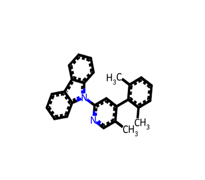 Cc1cnc(-n2c3ccccc3c3ccccc32)cc1-c1c(C)cccc1C